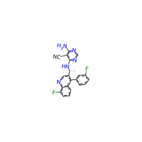 C[C@@H](Nc1ncnc(N)c1C#N)c1cnc2c(F)cccc2c1-c1cccc(F)c1